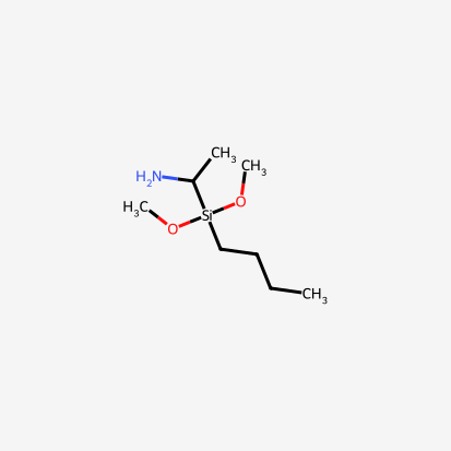 CCCC[Si](OC)(OC)C(C)N